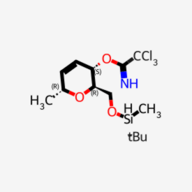 C[C@@H]1C=C[C@H](OC(=N)C(Cl)(Cl)Cl)[C@@H](CO[SiH](C)C(C)(C)C)O1